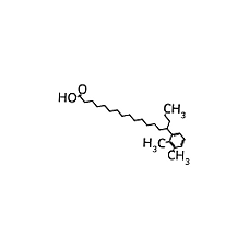 CCCC(CCCCCCCCCCCCCC(=O)O)c1cccc(C)c1C